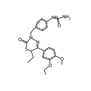 CCOc1cc(C2=NN(Cc3ccc(NC(N)=O)cc3)C(=O)SC2CC)ccc1OC